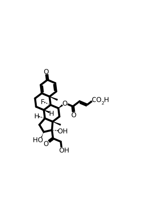 C[C@]12C=CC(=O)C=C1CC[C@H]1[C@@H]3C[C@@H](O)[C@](O)(C(=O)CO)[C@@]3(C)C[C@H](OC(=O)/C=C/C(=O)O)[C@@]12F